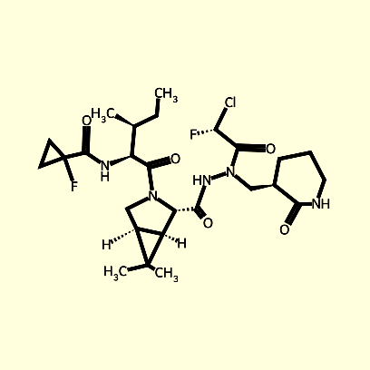 CC[C@H](C)[C@H](NC(=O)C1(F)CC1)C(=O)N1C[C@H]2[C@@H]([C@H]1C(=O)NN(C[C@H]1CCCNC1=O)C(=O)[C@H](F)Cl)C2(C)C